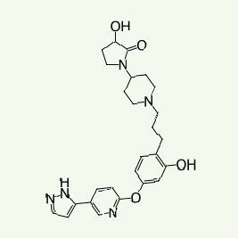 O=C1C(O)CCN1C1CCN(CCCc2ccc(Oc3ccc(-c4ccn[nH]4)cn3)cc2O)CC1